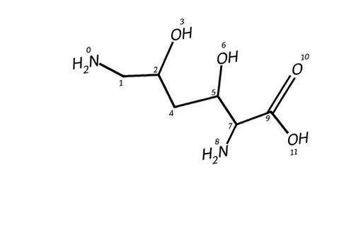 NCC(O)CC(O)C(N)C(=O)O